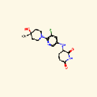 CC(C)(C)C1(O)CCN(c2ncc(NC3CCC(=O)NC3=O)cc2F)CC1